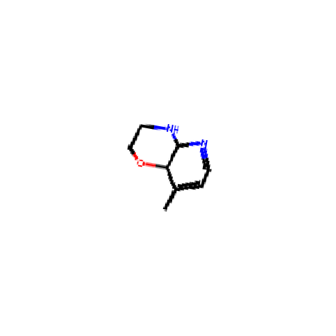 CC1=CC=NC2NCCOC12